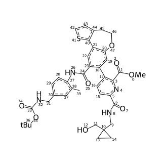 COC(=O)c1nc(C(=O)NCC2(CO)CC2)ccc1-c1cc2c(cc1C(=O)Nc1ccc(CNC(=O)OC(C)(C)C)cc1C)-c1sccc1CCO2